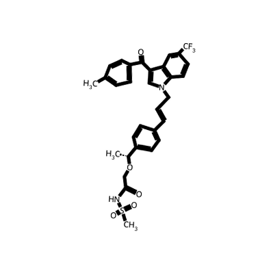 Cc1ccc(C(=O)c2cn(C/C=C/c3ccc([C@@H](C)OCC(=O)NS(C)(=O)=O)cc3)c3ccc(C(F)(F)F)cc23)cc1